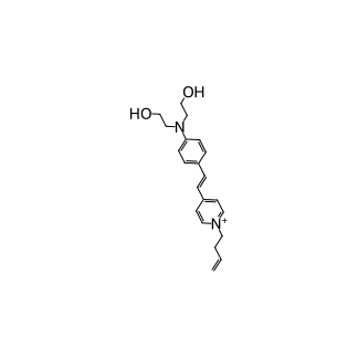 C=CCC[n+]1ccc(/C=C/c2ccc(N(CCO)CCO)cc2)cc1